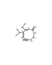 C=C1/C=C(CC)\C(C(C)C)=C/NCCC1